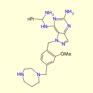 CCCC(N)Nc1nc(N)nc2cnn(Cc3ccc(CN4CCCNCC4)cc3OC)c12